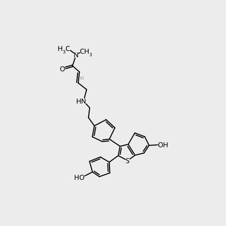 CN(C)C(=O)/C=C/CNCCc1ccc(-c2c(-c3ccc(O)cc3)sc3cc(O)ccc23)cc1